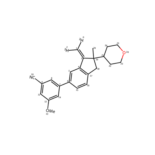 [2H]C([2H])=C1c2cc(-c3cc(C#N)cc(OC)c3)ccc2CC1(C)C1CCOCC1